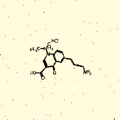 CN(C)n1cc(C(=O)O)c(=O)c2cc(CCCN)ccc21.Cl